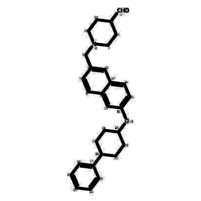 O=CC1CCN(Cc2ccc3cc(OC4CCC(c5ccccc5)CC4)ccc3c2)CC1